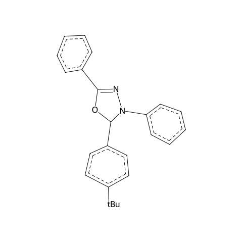 CC(C)(C)c1ccc(C2OC(c3ccccc3)=NN2c2ccccc2)cc1